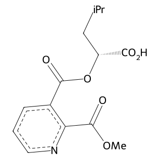 COC(=O)c1ncccc1C(=O)O[C@H](CC(C)C)C(=O)O